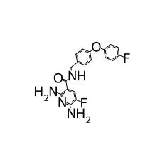 Nc1nc(N)c(C(=O)NCc2ccc(Oc3ccc(F)cc3)cc2)cc1F